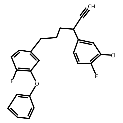 C#CC(CCCc1ccc(F)c(Oc2ccccc2)c1)c1ccc(F)c(Cl)c1